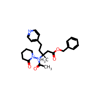 CC(=O)N(N1CCCCC1=O)[C@](C)(CCc1ccncc1)CC(=O)OCc1ccccc1